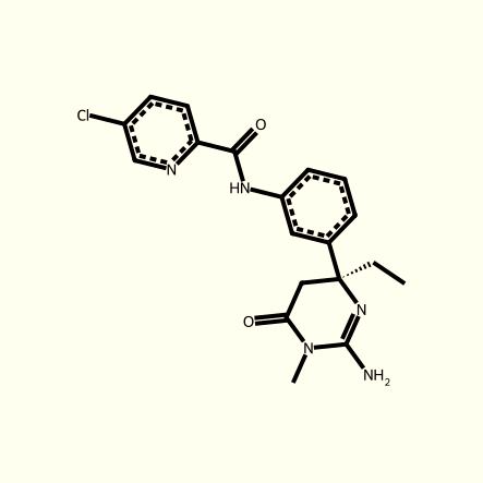 CC[C@@]1(c2cccc(NC(=O)c3ccc(Cl)cn3)c2)CC(=O)N(C)C(N)=N1